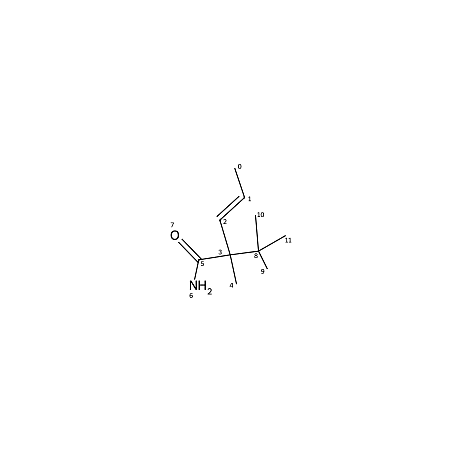 CC=CC(C)(C(N)=O)C(C)(C)C